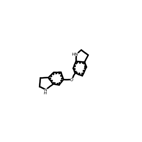 c1cc2c(cc1Oc1ccc3c(c1)NCC3)NCC2